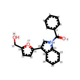 O=C(c1ccccc1)n1cc(-c2ccc(CO)o2)c2ccccc21